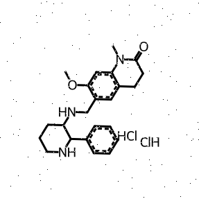 COc1cc2c(cc1CNC1CCCNC1c1ccccc1)CCC(=O)N2C.Cl.Cl